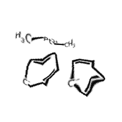 [CH3][Pt+2][CH3].c1cc[cH-]c1.c1cc[cH-]c1